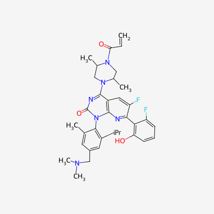 C=CC(=O)N1CC(C)N(c2nc(=O)n(-c3c(C)cc(CN(C)C)cc3C(C)C)c3nc(-c4c(O)cccc4F)c(F)cc23)CC1C